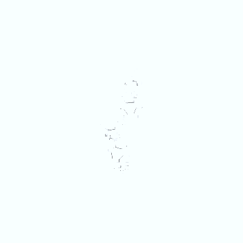 COC(=O)CC1Cc2cc(SCc3sc(-c4ccc(C(F)(F)F)cc4)nc3C)ccc2O1